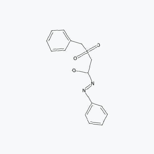 [O]C(CS(=O)(=O)Cc1ccccc1)N=Nc1ccccc1